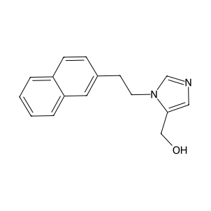 OCc1cncn1CCc1ccc2ccccc2c1